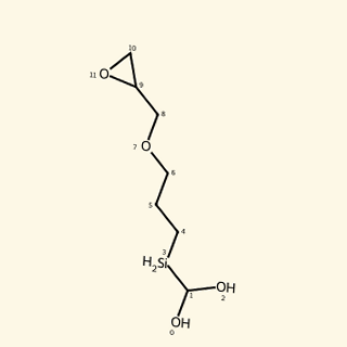 OC(O)[SiH2]CCCOCC1CO1